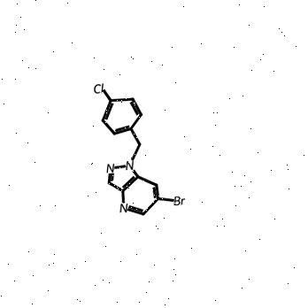 Clc1ccc(Cn2ncc3ncc(Br)cc32)cc1